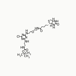 CC(C)(C)OC(=O)NCCNc1nc(Cl)nc(NCCOCCNC(=O)CCCC[C@@H]2SC[C@@H]3NC(=O)N[C@@H]32)n1